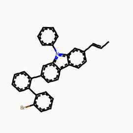 C/C=C/c1ccc2c3ccc(-c4ccccc4-c4ccccc4Br)cc3n(-c3ccccc3)c2c1